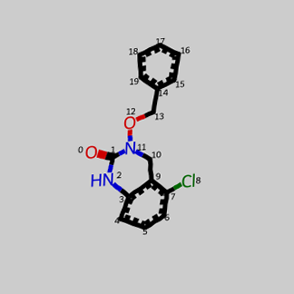 O=C1Nc2cccc(Cl)c2CN1OCc1ccccc1